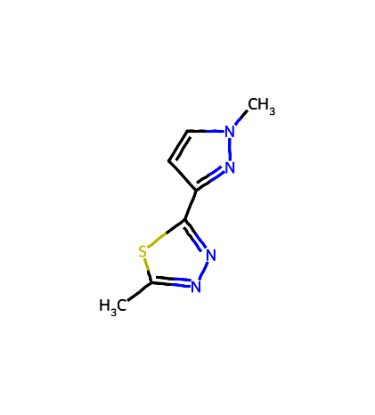 Cc1nnc(-c2ccn(C)n2)s1